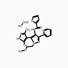 CCOCCn1nc(-c2ccccn2)c(NC(=O)c2ccco2)c1-c1c(C)n[nH]c1C.O=CO